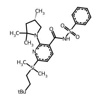 C[C@@H]1CN(c2nc([Si](C)(C)CCC(C)(C)C)ccc2C(=O)NS(=O)(=O)c2ccccc2)C(C)(C)C1